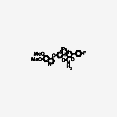 COc1cc2nccc(Oc3ccc(N4C(C(N)=O)C(=O)C(c5ccc(F)cc5)=CN4C(C)C)nc3)c2cc1OC